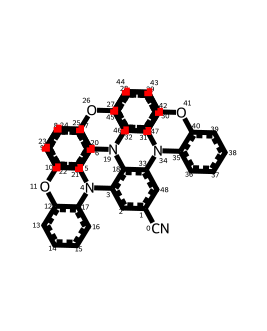 N#Cc1cc(N2c3ccccc3Oc3ccccc32)c(N2c3ccccc3Oc3ccccc32)c(N2c3ccccc3Oc3ccccc32)c1